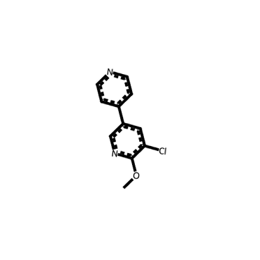 COc1ncc(-c2ccncc2)cc1Cl